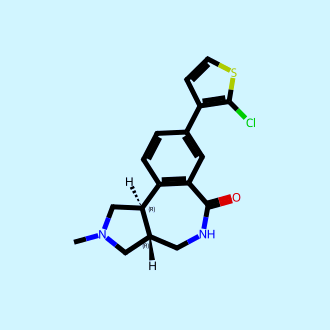 CN1C[C@H]2CNC(=O)c3cc(-c4ccsc4Cl)ccc3[C@@H]2C1